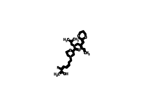 C=C/C=C(\C=C1/COCCCO1)CN(CC(C)C)C(=O)C1CN(CC/C=C\C=C(\F)C(=C)O)CCO1